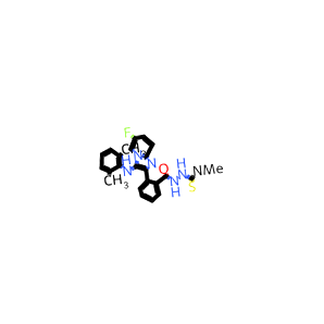 CNC(=S)NNC(=O)c1ccccc1-c1nc2ccc(F)cn2c1Nc1c(C)cccc1C